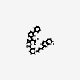 O=C(O)C(c1cccc(-c2ccccc2)c1)C1(NC(=O)[C@@H]2CCCN(CCCc3ccc4c(n3)NCCC4)C2)CC1